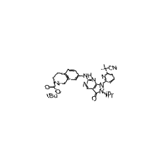 CC(C)n1c(=O)c2cnc(Nc3ccc4c(c3)CN(C(=O)OC(C)(C)C)CC4)nc2n1-c1cccc(C(C)(C)C#N)n1